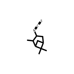 CC1C(N=C=S)CC2CC1C2(C)C